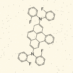 Fc1ccccc1N(C1=CC2=CC=C3CC(N(c4ccccc4F)c4ccccc4F)=CC4=C3C2C(=C1)c1ccccc14)c1ccccc1F